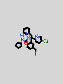 O=C(NC1CCCC1)NC(Cc1ccccc1)(c1cccc(CI)c1)c1ccc(Cl)cn1